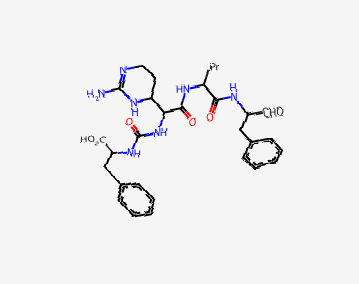 CC(C)C(NC(=O)C(NC(=O)NC(Cc1ccccc1)C(=O)O)C1CCN=C(N)N1)C(=O)NC(C=O)Cc1ccccc1